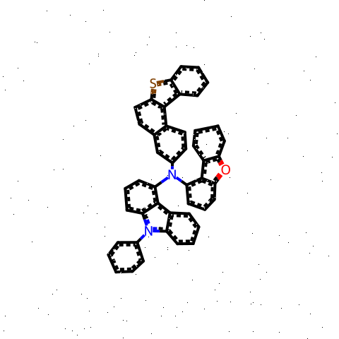 c1ccc(-n2c3ccccc3c3c(N(c4ccc5c(ccc6sc7ccccc7c65)c4)c4cccc5oc6ccccc6c45)cccc32)cc1